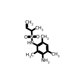 C=CC(C)S(=O)(=O)Nc1c(C)cc(C)c(N)c1C